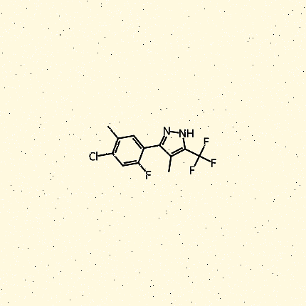 Cc1cc(-c2n[nH]c(C(F)(F)F)c2C)c(F)cc1Cl